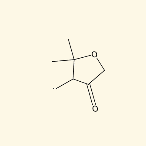 [CH2]C1C(=O)COC1(C)C